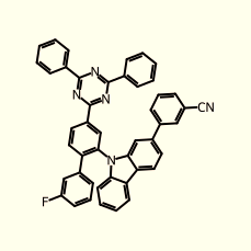 N#Cc1cccc(-c2ccc3c4ccccc4n(-c4cc(-c5nc(-c6ccccc6)nc(-c6ccccc6)n5)ccc4-c4cccc(F)c4)c3c2)c1